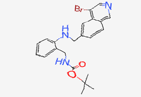 CC(C)(C)OC(=O)NCc1ccccc1NCc1ccc2cncc(Br)c2c1